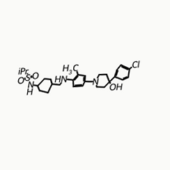 Cc1cc(N2CCC(O)(c3ccc(Cl)cc3)CC2)ccc1NCC1CCC(NS(=O)(=O)C(C)C)CC1